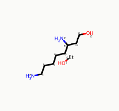 CCO.NCCCCCC(N)CCO